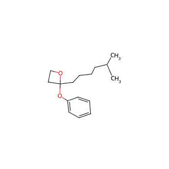 CC(C)CCCCC1(Oc2ccccc2)CCO1